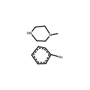 CC(=O)c1ccccc1.CN1CCNCC1